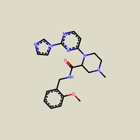 COc1ccccc1CNC(=O)C1CN(C)CCN1c1ccnc(-n2ccnc2)n1